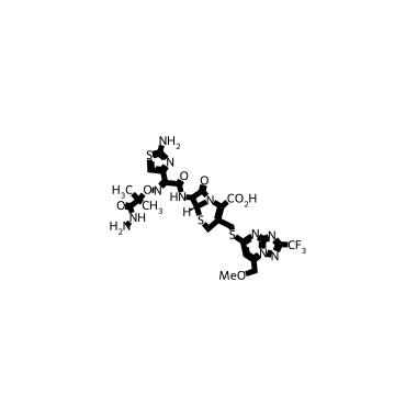 COCc1cc(SCC2=C(C(=O)O)N3C(=O)C(NC(=O)C(=NOC(C)(C)C(=O)NN)c4csc(N)n4)[C@@H]3SC2)nc2nc(C(F)(F)F)nn12